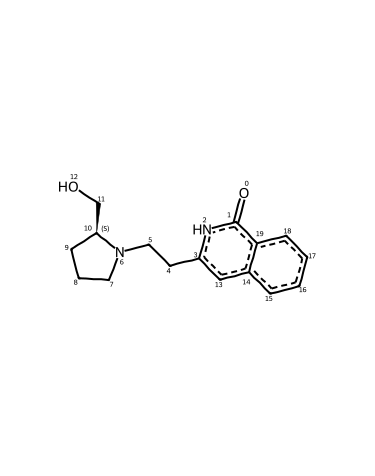 O=c1[nH]c(CCN2CCC[C@H]2CO)cc2ccccc12